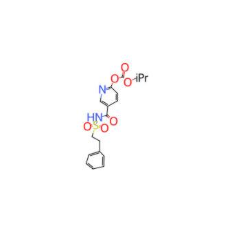 CC(C)OC(=O)Oc1ccc(C(=O)NS(=O)(=O)CCc2ccccc2)cn1